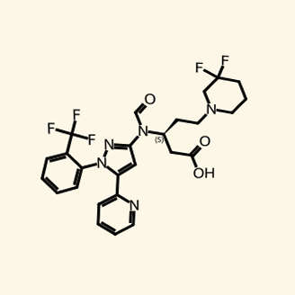 O=CN(c1cc(-c2ccccn2)n(-c2ccccc2C(F)(F)F)n1)[C@@H](CCN1CCCC(F)(F)C1)CC(=O)O